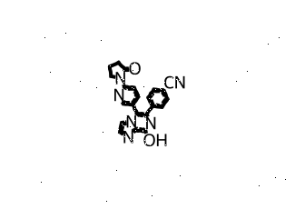 N#Cc1ccc(-c2nc(O)c3nccn3c2-c2ccc(N3CCCC3=O)nc2)cc1